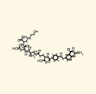 COCCSSCC(NC(=O)C(CC(=O)O)NC(=O)C(N)CNC(=O)CCC(NC(=O)c1ccc(NCc2cnc3nc(N)[nH]c(=O)c3n2)cc1)C(=O)O)C(=O)O